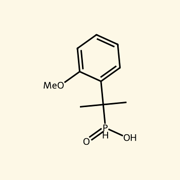 COc1ccccc1C(C)(C)[PH](=O)O